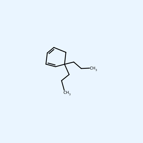 CCCC1(CCC)C=CC=CC1